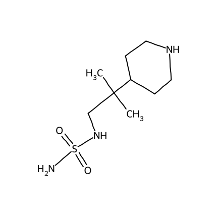 CC(C)(CNS(N)(=O)=O)C1CCNCC1